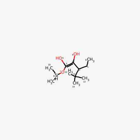 CCC(C(O)=C(O)O[SiH](C)C)C(C)(C)C